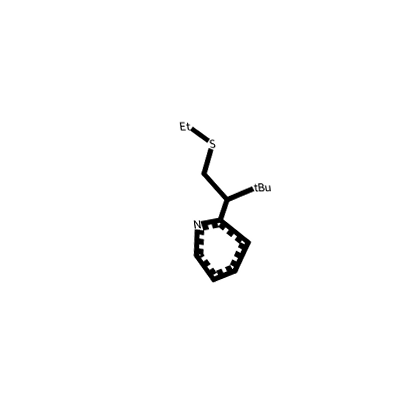 CCSCC(c1ccccn1)C(C)(C)C